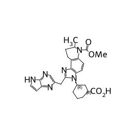 COC(=O)N1c2ccc3c(nc(Cc4cnc5[nH]ccc5n4)n3[C@@H]3CCC[C@@H](C(=O)O)C3)c2CCC1C